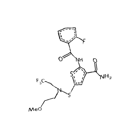 COCCN(CC(F)(F)F)Sc1cc(C(N)=O)c(NC(=O)c2ccccc2F)s1